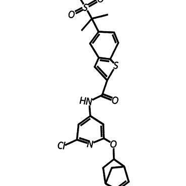 CC(C)(c1ccc2sc(C(=O)Nc3cc(Cl)nc(OC4CC5C=CC4C5)c3)cc2c1)S(C)(=O)=O